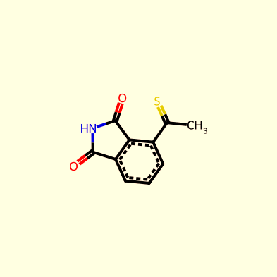 CC(=S)c1cccc2c1C(=O)NC2=O